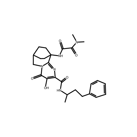 CC(CCc1ccccc1)NC(=O)c1nc2n(c(=O)c1O)CC1CCC2(NC(=O)C(=O)N(C)C)CC1